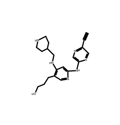 C#Cc1cnc(Nc2cc(NCC3CCNCC3)c(CCCO)cn2)cn1